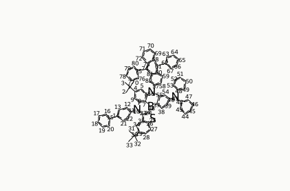 CC(C)(C)c1cc2c3c(c1)N(c1ccc(-c4ccccc4)cc1)c1c(sc4ccc(C(C)(C)C)cc14)B3c1ccc(N(c3ccccc3)c3ccccc3)cc1N2c1ccc2c(-c3ccccc3)c3ccccc3c(-c3ccccc3)c2c1